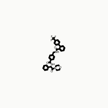 O=C(N[C@H](C(=O)N1CCOCC1)c1ccccc1)c1ccc(CNC(=O)c2ccccc2-c2ccc(C(F)(F)F)cc2)cc1